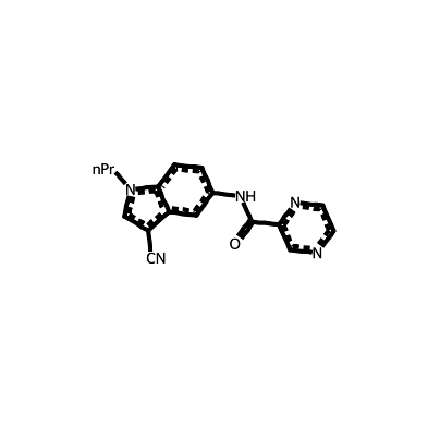 CCCn1cc(C#N)c2cc(NC(=O)c3cnccn3)ccc21